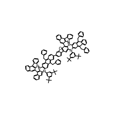 CC(C)(C)c1cc(N2c3cc4c(Cc5ccccc5)c5cc(-c6ccc7c(c6)oc6c8c9c(cc67)N(c6cc(C(C)(C)C)cc(C(C)(C)C)c6)c6cc7c(Cc%10ccccc%10)c%10ccccc%10c(Cc%10ccccc%10)c7cc6B9n6c7ccccc7c7c9ccccc9cc-8c76)ccc5c(Cc5ccccc5)c4cc3B3c4c2cc2ccccc2c4-c2cc4ccccc4c4c5ccccc5n3c24)cc(C(C)(C)C)c1